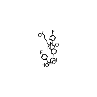 CC(=O)CCCCc1nc2cc(C3=NO[C@@](C)([C@@H](O)c4ccc(F)cc4)C3)ccc2c(=O)n1-c1ccc(F)cc1